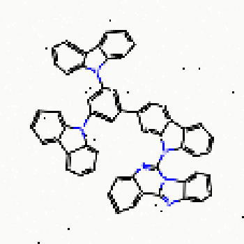 c1ccc2c(c1)nc(-n1c3ccccc3c3ccc(-c4cc(-n5c6ccccc6c6ccccc65)cc(-n5c6ccccc6c6ccccc65)c4)cc31)n1c3ccccc3nc21